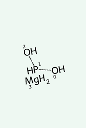 OPO.[MgH2]